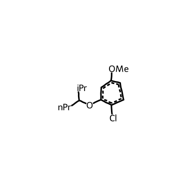 CCCC(Oc1cc(OC)ccc1Cl)C(C)C